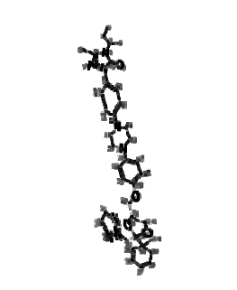 CCC(C)n1c(C)nn(-c2ccc(N3CCN(c4ccc(OC[C@@H]5CO[C@@](Cn6nccn6)(C6(C)C=CC=CC6)O5)cc4)CC3)cc2)c1=O